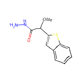 COC(C(=O)NN)c1cc2ccccc2s1